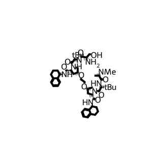 CN[C@@H](C)C(=O)N[C@H](C(=O)N1C[C@@H](OCCO[C@H]2C[C@@H](C(=O)N[C@@H]3CCCc4ccccc43)N(C(=O)[C@@H](NC(=O)[C@@H](N)CO)C(C)(C)C)C2)C[C@H]1C(=O)NC1CCCc2ccccc21)C(C)(C)C